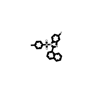 Cc1ccc(S(=O)(=O)n2c(-c3cccc4ccccc34)nc3cc(F)ccc32)cc1